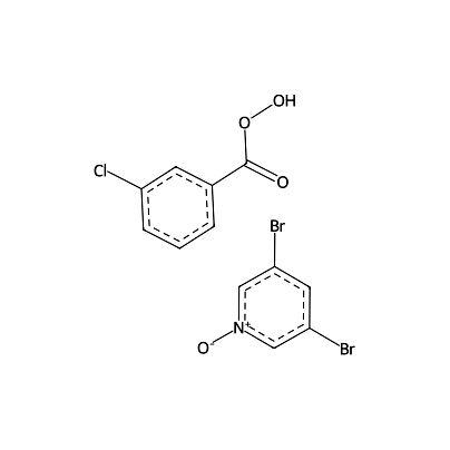 O=C(OO)c1cccc(Cl)c1.[O-][n+]1cc(Br)cc(Br)c1